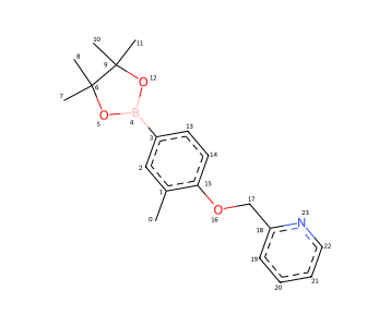 Cc1cc(B2OC(C)(C)C(C)(C)O2)ccc1OCc1ccccn1